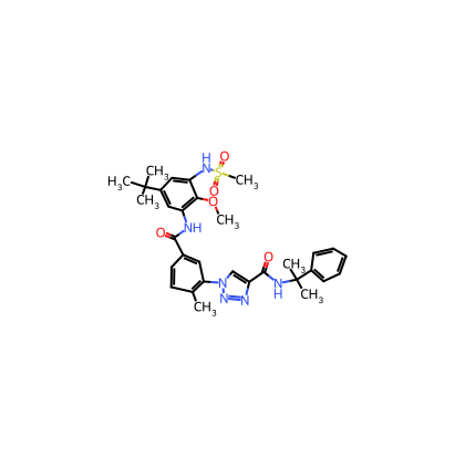 COc1c(NC(=O)c2ccc(C)c(-n3cc(C(=O)NC(C)(C)c4ccccc4)nn3)c2)cc(C(C)(C)C)cc1NS(C)(=O)=O